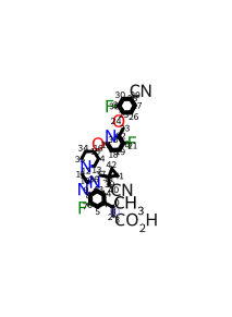 C/C(=C\C(=O)O)c1cc(F)c2nc(CN3CCC(Oc4ccc(F)c(COc5ccc(C#N)cc5F)n4)CC3)n(CC3(CC#N)CC3)c2c1